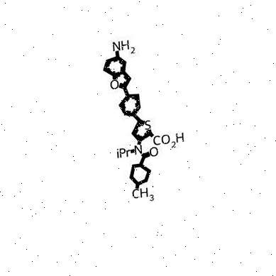 CC1CCC(C(=O)N(c2cc(-c3ccc(-c4cc5cc(N)ccc5o4)cc3)sc2C(=O)O)C(C)C)CC1